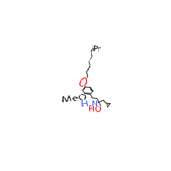 COc1cc(OCCCCCCC(C)C)ccc1CCC(N)(CO)CC1CC1